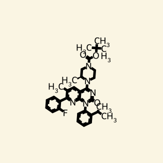 Cc1cc2c(N3CCN(C(=O)OC(C)(C)C)C[C@@H]3C)nc(=O)n(-c3ccccc3C(C)C)c2nc1-c1ccccc1F